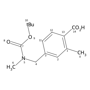 Cc1cc(CN(C)C(=O)OC(C)(C)C)ccc1C(=O)O